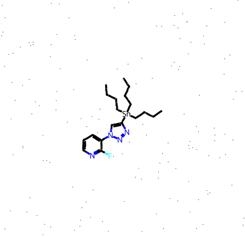 CCC[CH2][Sn]([CH2]CCC)([CH2]CCC)[c]1cn(-c2cccnc2F)nn1